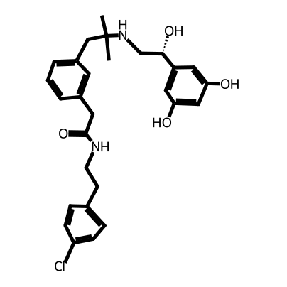 CC(C)(Cc1cccc(CC(=O)NCCc2ccc(Cl)cc2)c1)NC[C@H](O)c1cc(O)cc(O)c1